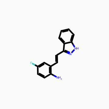 Nc1ccc(F)cc1C=Cc1n[nH]c2ccccc12